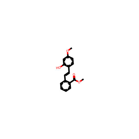 COC(=O)c1ccccc1C=Cc1ccc(OC)cc1O